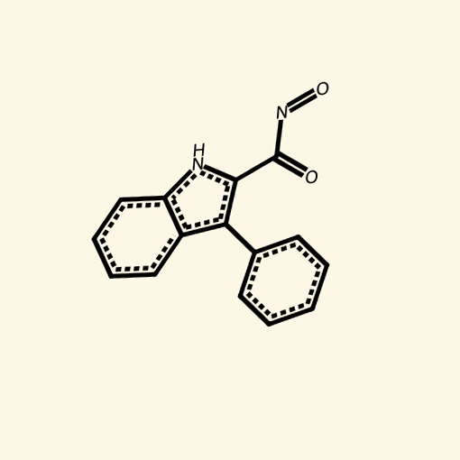 O=NC(=O)c1[nH]c2ccccc2c1-c1ccccc1